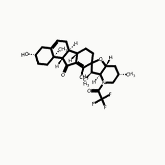 CC1=C2C(=O)[C@H]3[C@@H](CC=C4C[C@@H](O)CC[C@@]43C)[C@@H]2CCC12O[C@@H]1C[C@H](C)CN(C(=O)C(F)(F)F)[C@H]1[C@H]2C